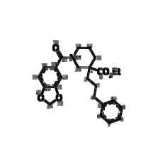 CCOC(=O)C1(CCCc2ccccc2)CCCN(C(=O)c2ccc3c(c2)OCO3)C1